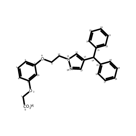 O=C(O)COc1cccc(OCCn2cc(C(c3ccccc3)c3ccccc3)cn2)c1